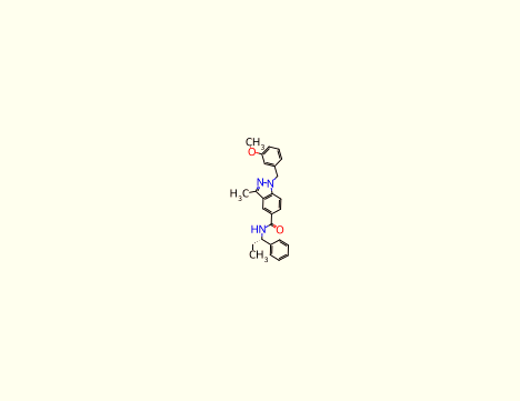 CC[C@H](NC(=O)c1ccc2c(c1)c(C)nn2Cc1cccc(OC)c1)c1ccccc1